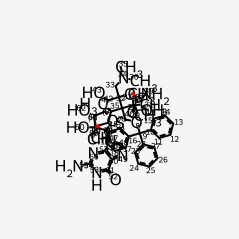 CCCC(C)C(C(=S)OC(c1ccccc1)(c1ccccc1)c1ccccc1)(C(C)(C)C)C(CN(C)C)(OP(N)(=O)O)C(O)[C@H]1O[C@@H](n2cnc3c(=O)[nH]c(N)nc32)[C@](C)(O)[C@@H]1O